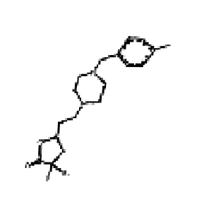 CCC1(CC)CC(CCN2CCN(Cc3ccc(F)cc3)CC2)OC1=O